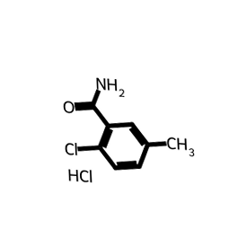 Cc1ccc(Cl)c(C(N)=O)c1.Cl